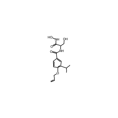 C=CCOc1ccc(C(=O)NC(CO)C(=O)NO)cc1C(C)C